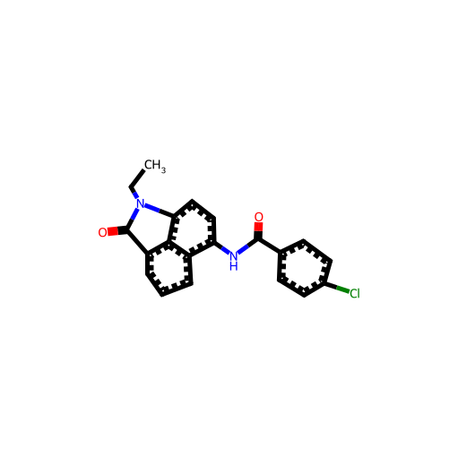 CCN1C(=O)c2cccc3c(NC(=O)c4ccc(Cl)cc4)ccc1c23